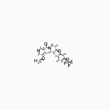 COc1cncc(C(=O)N2CCC(Oc3cccc(OC(F)(F)F)c3)CC2)c1